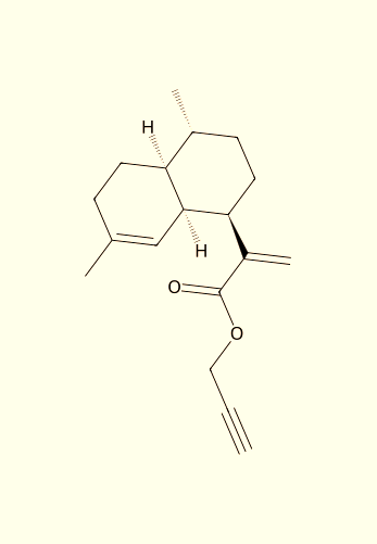 C#CCOC(=O)C(=C)[C@@H]1CC[C@@H](C)[C@@H]2CCC(C)=C[C@@H]21